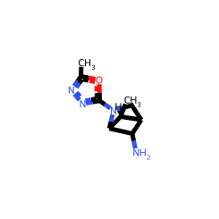 Cc1nnc(N2CC3C(N)C2[C@@H]3C)o1